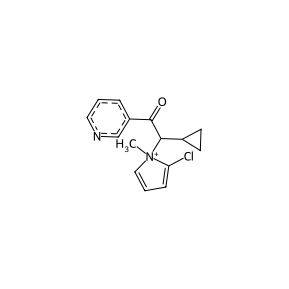 C[N+]1(C(C(=O)c2cccnc2)C2CC2)C=CC=C1Cl